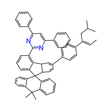 C/C=C(\CC(C)C)c1ccc(C2=CC3c4c(-c5nc(-c6ccccc6)cc(-c6ccccc6)n5)cccc4C4(c5ccccc5C(C)(C)c5ccccc54)C3C=C2)cc1